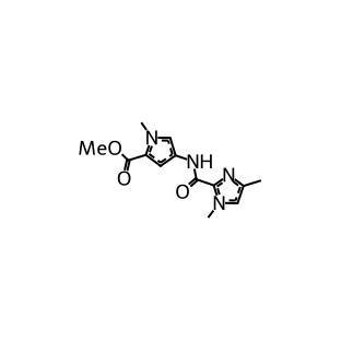 COC(=O)c1cc(NC(=O)c2nc(C)cn2C)cn1C